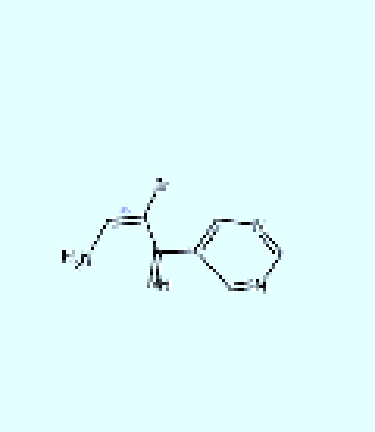 N=C(/C(Br)=C\N)c1cncnc1